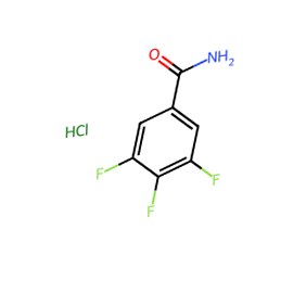 Cl.NC(=O)c1cc(F)c(F)c(F)c1